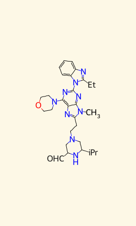 CCc1nc2ccccc2n1-c1nc(N2CCOCC2)c2nc(CCN3CC(C=O)NC(C(C)C)C3)n(C)c2n1